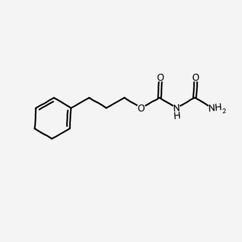 NC(=O)NC(=O)OCCCC1=CCCC=C1